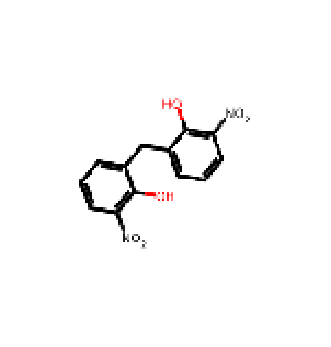 O=[N+]([O-])c1cccc(Cc2cccc([N+](=O)[O-])c2O)c1O